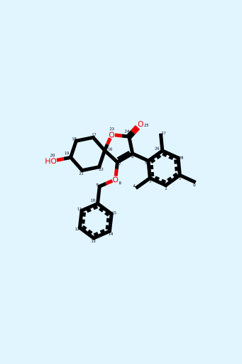 Cc1cc(C)c(C2=C(OCc3ccccc3)C3(CCC(O)CC3)OC2=O)c(C)c1